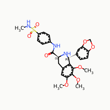 CNS(=O)(=O)c1ccc(NC(=O)[C@@H]2Cc3cc(OC)c(OC)c(OC)c3[C@@H](c3ccc4c(c3)OCO4)N2)cc1